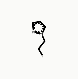 ICCn1cccn1